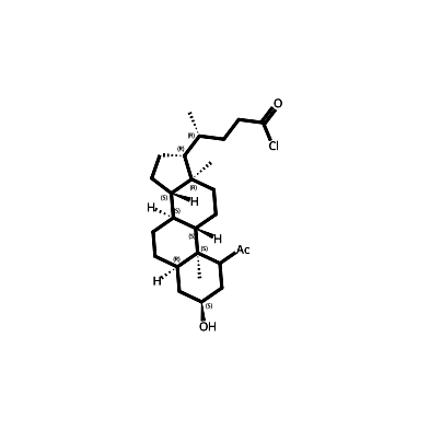 CC(=O)C1C[C@@H](O)C[C@H]2CC[C@H]3[C@@H]4CC[C@H]([C@H](C)CCC(=O)Cl)[C@@]4(C)CC[C@@H]3[C@@]12C